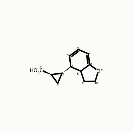 O=C(O)[C@@H]1C[C@H]1C1C=CC=C2OCCC21